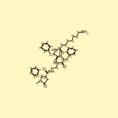 CN1C(=O)C[C@H](C(=O)NCCNC(=O)[C@H](Cc2ccccc2)NC(=O)[C@H](Cc2ccccc2)NC(=O)CCCCCCCN)[C@H]1c1cccnc1